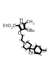 CCCCc1c(C)[nH]c(C(=O)OCC)c1OCCN1CCC(O)(c2ccc(F)cc2)CC1